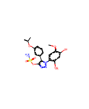 COc1cc(-n2nnc(OS(N)(=O)=O)c2-c2cccc(OC(C)C)c2)c(O)cc1O